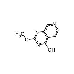 COc1nc(O)c2ccncc2n1